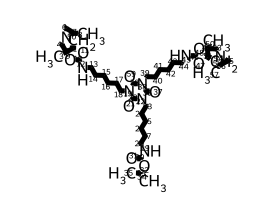 C=CC(C)(CN1CC1C)OC(=O)NCCCCCCn1c(=O)n(CCCCCCNC(=O)OC(C)C)c(=O)n(CCCCCCNC(=O)OC(C)(C=C)CN2CC2C)c1=O